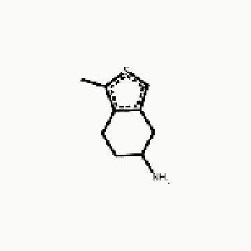 Cc1scc2c1CCC(N)C2